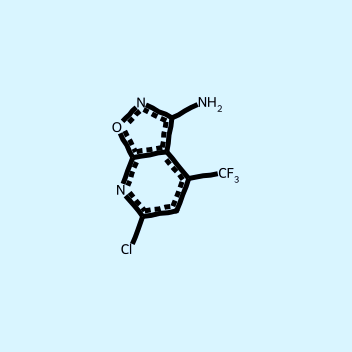 Nc1noc2nc(Cl)cc(C(F)(F)F)c12